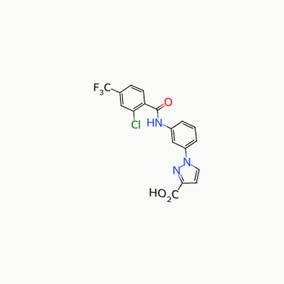 O=C(O)c1ccn(-c2cccc(NC(=O)c3ccc(C(F)(F)F)cc3Cl)c2)n1